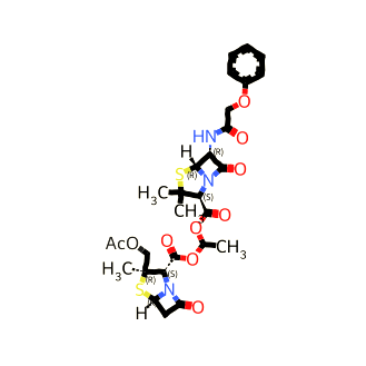 CC(=O)OC[C@]1(C)S[C@@H]2CC(=O)N2[C@H]1C(=O)OC(C)OC(=O)[C@@H]1N2C(=O)[C@@H](NC(=O)COc3ccccc3)[C@H]2SC1(C)C